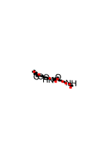 CC(C)C(C)(C)NCCCCCC(=O)C(C)(C)C(C)(C)NCCOCCOCC(=O)C(C)(C)C(C)C